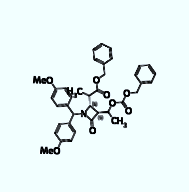 COc1ccc(C(c2ccc(OC)cc2)N2C(=O)[C@H](C(C)OC(=O)OCc3ccccc3)[C@H]2C(C)C(=O)OCc2ccccc2)cc1